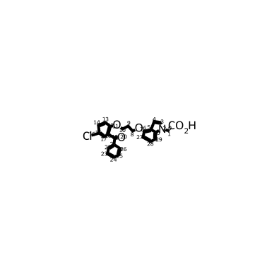 O=C(O)Cn1ccc2c(OCCCOc3ccc(Cl)cc3C(=O)c3ccccc3)cccc21